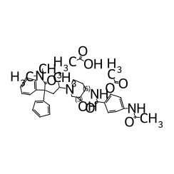 CC(=O)Nc1ccc(C(=O)N[C@H]2CCN(C(C)CC(C(=O)N(C)C)(c3ccccc3)c3ccccc3)C[C@@H]2O)c(OC(C)=O)c1.CC(=O)O